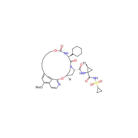 CC[C@H]1C[C@]1(NC(=O)[C@@H]1C[C@@H]2CN1C(=O)[C@H](C1CCCCC1)NC(=O)OCCCCCc1cc(OC)c3ccnc(c3c1)O2)C(=O)NS(=O)(=O)C1CC1